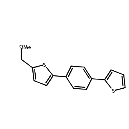 COCc1ccc(-c2ccc(-c3cccs3)cc2)s1